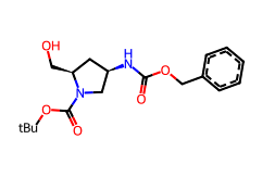 CC(C)(C)OC(=O)N1C[C@H](NC(=O)OCc2ccccc2)C[C@@H]1CO